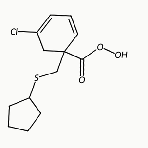 O=C(OO)C1(CSC2CCCC2)C=CC=C(Cl)C1